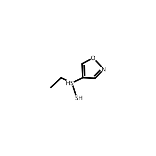 CC[SH](S)c1cnoc1